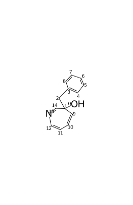 OC1(Cc2ccccc2)C=CC=CN=C1